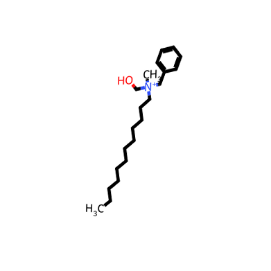 CCCCCCCCCCCC[N+](C)(CO)Cc1ccccc1